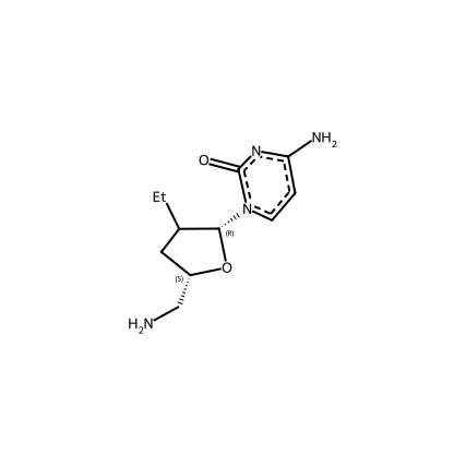 CCC1C[C@@H](CN)O[C@H]1n1ccc(N)nc1=O